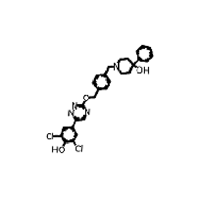 Oc1c(Cl)cc(-c2cnc(OCc3ccc(CN4CCC(O)(c5ccccc5)CC4)cc3)nn2)cc1Cl